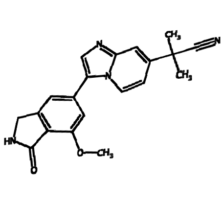 COc1cc(-c2cnc3cc(C(C)(C)C#N)ccn23)cc2c1C(=O)NC2